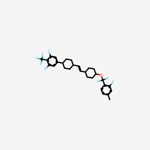 Cc1ccc(C(F)(F)OC2CCC(/C=C/C3CCC(c4cc(F)c(C(F)(F)F)c(F)c4)CC3)CC2)c(F)c1